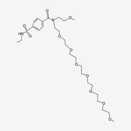 CCNS(=O)(=O)c1ccc(C(=O)N(CCOC)CCOCCOCCOCCOCCOCCOCCOC)cc1